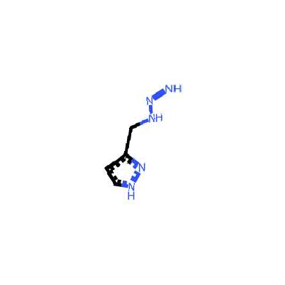 N=NNCc1cc[nH]n1